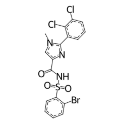 Cn1cc(C(=O)NS(=O)(=O)c2ccccc2Br)nc1-c1cccc(Cl)c1Cl